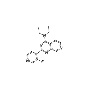 CCN(CC)c1cc(-c2ccncc2F)nc2cnccc12